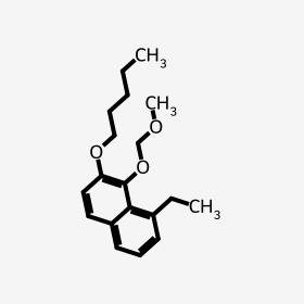 CCCCCOc1ccc2cccc(CC)c2c1OCOC